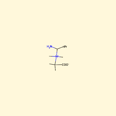 CCCC(N)[N+](C)(C)C(C)(C)C(=O)[O-]